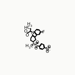 CCC(C(=O)O)n1c2c(c3cc(F)ccc31)C[C@@H](N(C)S(=O)(=O)c1ccc([N+](=O)[O-])cc1)CC2